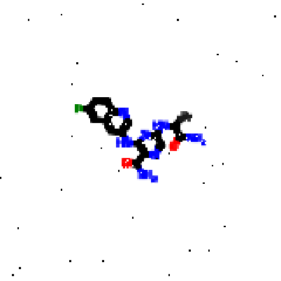 CC(C)C(Nc1cnc(C(N)=O)c(Nc2cnc3ccc(F)cc3c2)n1)C(N)=O